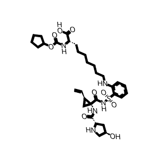 C=C[C@@H]1C[C@]1(NC(=O)[C@@H]1C[C@@H](O)CN1)C(=O)NS(=O)(=O)c1ccccc1NCCCCCCC[C@H](NC(=O)OC1CCCC1)C(=O)O